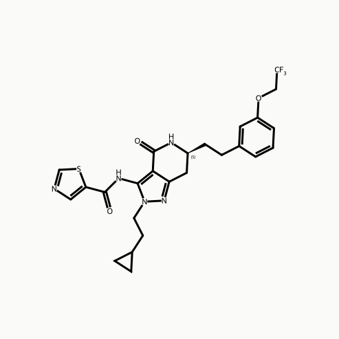 O=C(Nc1c2c(nn1CCC1CC1)C[C@H](CCc1cccc(OCC(F)(F)F)c1)NC2=O)c1cncs1